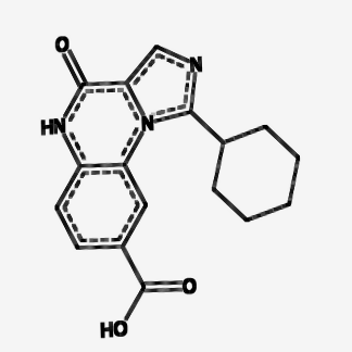 O=C(O)c1ccc2[nH]c(=O)c3cnc(C4CCCCC4)n3c2c1